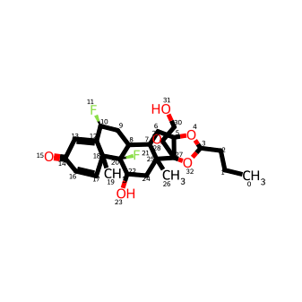 CCCC1OC2CC3C4C[C@H](F)C5=CC(=O)C=CC5(C)[C@@]4(F)C(O)CC3(C)C2(C(=O)CO)O1